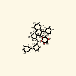 c1ccc(-c2cccc(N(c3ccccc3)c3cccc4c3c(-c3ccccc3)c(-c3ccccc3)c3ccccc34)c2)cc1